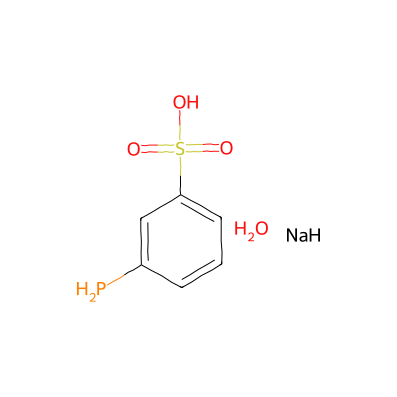 O.O=S(=O)(O)c1cccc(P)c1.[NaH]